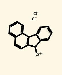 [Cl-].[Cl-].[Zr+2][CH]1c2ccccc2-c2c1ccc1ccccc21